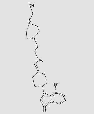 OCCN1CCN(CCNC=C2CCC(c3c[nH]c4cccc(Br)c34)CC2)CC1